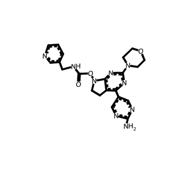 Nc1ncc(-c2nc(N3CCOCC3)nc3c2CCN3OC(=O)NCc2cccnc2)cn1